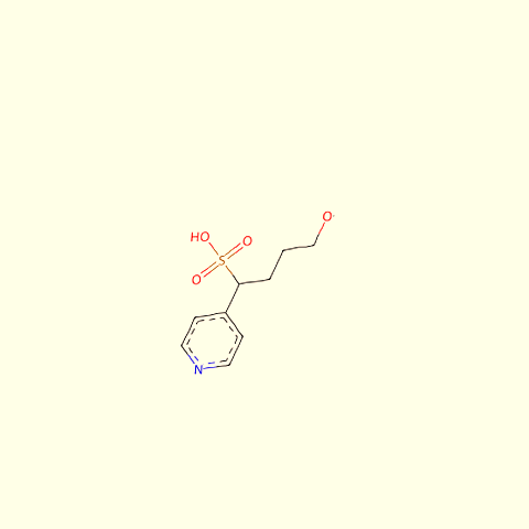 [O]CCCC(c1ccncc1)S(=O)(=O)O